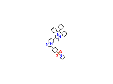 Cc1nn(C(c2ccccc2)(c2ccccc2)c2ccccc2)cc1-c1ccc2ncc(-c3ccc(S(=O)(=O)N4CCCC4)cc3)n2c1